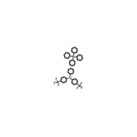 FC(F)(F)c1ccc([S+](c2ccccc2)c2ccc(C(F)(F)F)cc2)cc1.c1ccc([B-](c2ccccc2)(c2ccccc2)c2ccccc2)cc1